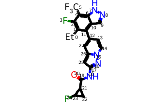 CCc1c(F)c(C(F)(F)F)c2[nH]ncc2c1-c1ccn2nc(NC(=O)C3CC3F)cc2c1